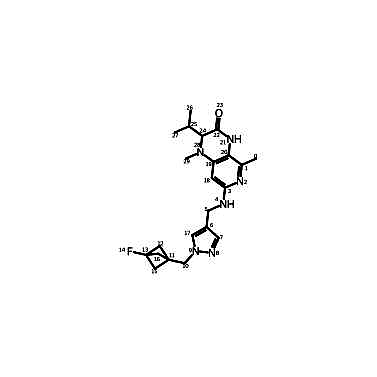 Cc1nc(NCc2cnn(CC34CC(F)(C3)C4)c2)cc2c1NC(=O)C(C(C)C)N2C